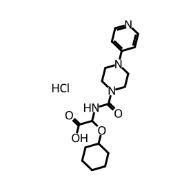 Cl.O=C(O)C(NC(=O)N1CCN(c2ccncc2)CC1)OC1CCCCC1